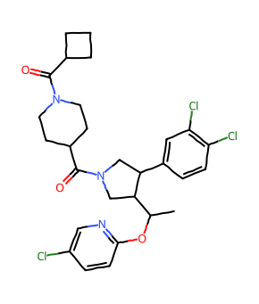 CC(Oc1ccc(Cl)cn1)C1CN(C(=O)C2CCN(C(=O)C3CCC3)CC2)CC1c1ccc(Cl)c(Cl)c1